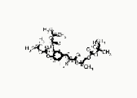 CCC(C)(C)OC(=O)OC[C@H](C)OC(=O)[C@@H](N)Cc1ccc(OC(=O)OC(C)C)c(OC(=O)OC(C)C)c1